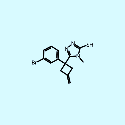 C=C1CC(c2cccc(Br)c2)(c2nnc(S)n2C)C1